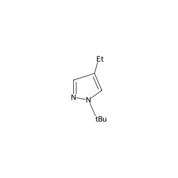 CCc1cnn(C(C)(C)C)c1